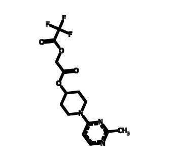 Cc1nccc(N2CCC(OC(=O)COC(=O)C(F)(F)F)CC2)n1